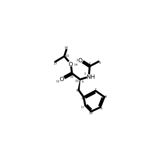 CC(=O)N[C@@H](Cc1ccccc1)C(=O)OC(C)C